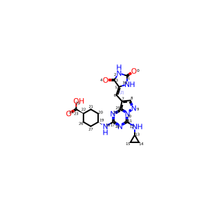 O=C1NC(=O)/C(=C/c2cnn3c(NC4CC4)nc(N[C@H]4CC[C@H](C(=O)O)CC4)nc23)N1